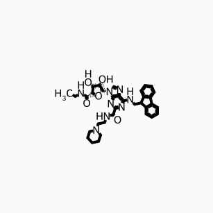 CCNC(=O)[C@H]1O[C@@H](n2cnc3c(NCC4c5ccccc5-c5ccccc54)nc(C(=O)NCCN4CCCCC4)nc32)[C@H](O)[C@@H]1O